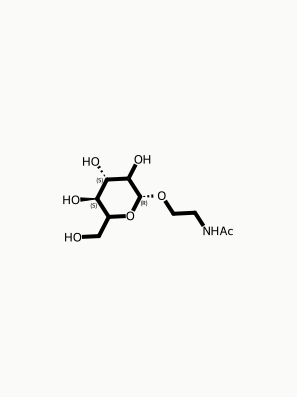 CC(=O)NCCO[C@@H]1OC(CO)[C@@H](O)[C@H](O)C1O